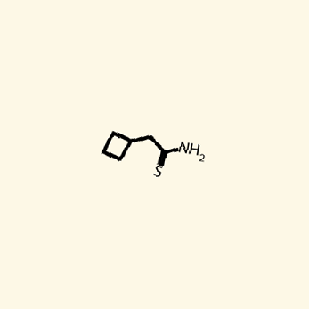 NC(=S)CC1CCC1